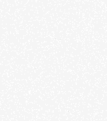 O=C(CC(=O)c1ccc(O)cc1)Nc1ccccc1